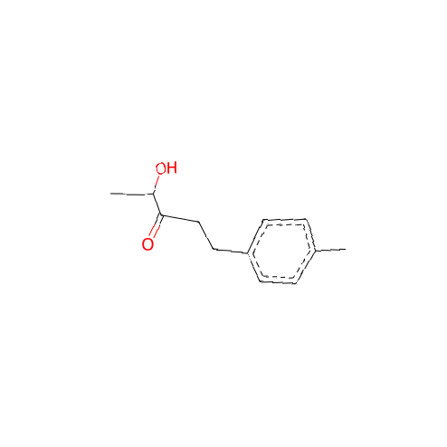 Cc1ccc(CCC(=O)C(C)O)cc1